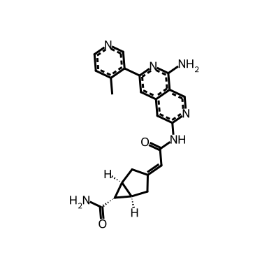 Cc1ccncc1-c1cc2cc(NC(=O)/C=C3/C[C@@H]4[C@H](C3)[C@H]4C(N)=O)ncc2c(N)n1